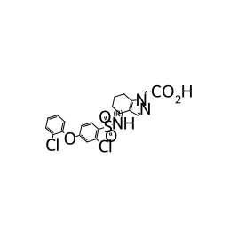 O=C(O)Cn1ncc2c1CCC[C@H]2NS(=O)(=O)c1ccc(Oc2ccccc2Cl)cc1Cl